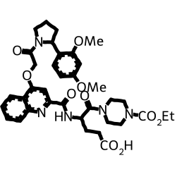 CCOC(=O)N1CCN(C(=O)C(CCC(=O)O)NC(=O)c2cc(OCC(=O)N3CCCC3c3ccc(OC)cc3OC)c3ccccc3n2)CC1